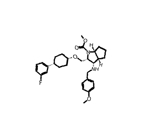 COC(=O)N1[C@@H]2CCC[C@@H]2[C@H](NCc2ccc(OC)cc2)[C@@H]1CO[C@H]1CC[C@@H](c2cccc(F)c2)CC1